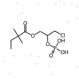 CCC(C)(C)C(=O)OCC(CCl)OP(=O)(O)O